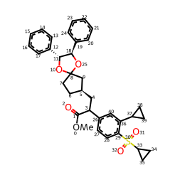 COC(=O)C(C[C@H]1CCC2(C1)O[C@H](c1ccccc1)[C@@H](c1ccccc1)O2)c1ccc(S(=O)(=O)C2CC2)c(C2CC2)c1